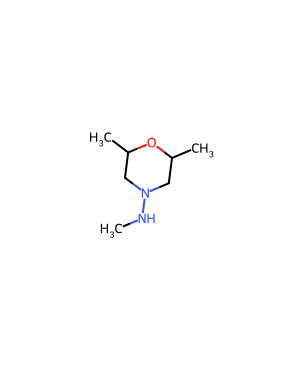 CNN1CC(C)OC(C)C1